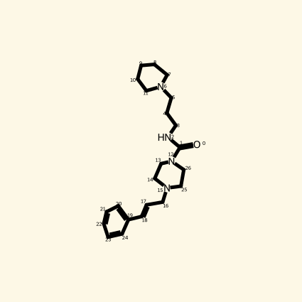 O=C(NCCCN1CCCCC1)N1CCN(CC=Cc2ccccc2)CC1